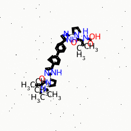 CCN(CC)C(C(=O)N1CCC[C@H]1c1ncc(-c2ccc(-c3ccc(-c4cnc([C@@H]5CCCN5C(=O)C(NC(=O)O)C(C)C)[nH]4)cc3)cc2)[nH]1)C(C)(C)C